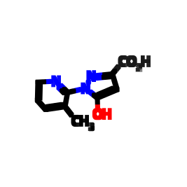 Cc1cccnc1-n1nc(C(=O)O)cc1O